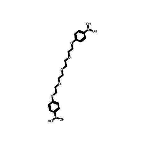 OB(O)c1ccc(OCCOCCOCCOCCOc2ccc(B(O)O)cc2)cc1